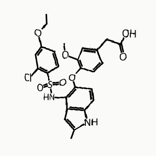 CCOc1ccc(S(=O)(=O)Nc2c(Oc3ccc(CC(=O)O)cc3OC)ccc3[nH]c(C)cc23)c(Cl)c1